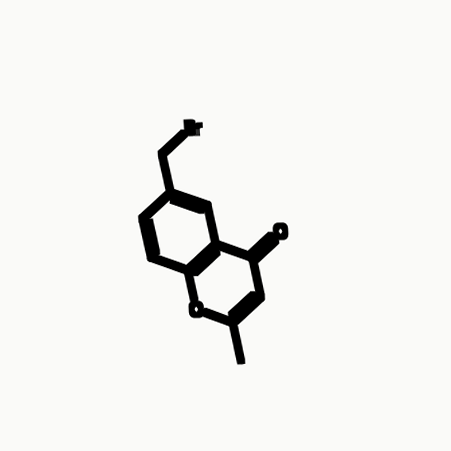 Cc1cc(=O)c2cc(CBr)ccc2o1